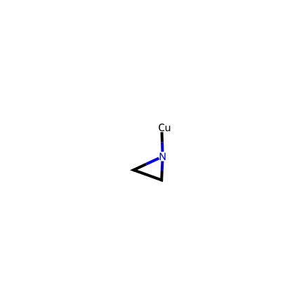 [Cu][N]1CC1